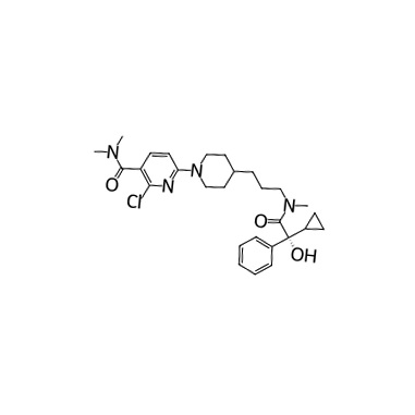 CN(C)C(=O)c1ccc(N2CCC(CCCN(C)C(=O)[C@](O)(c3ccccc3)C3CC3)CC2)nc1Cl